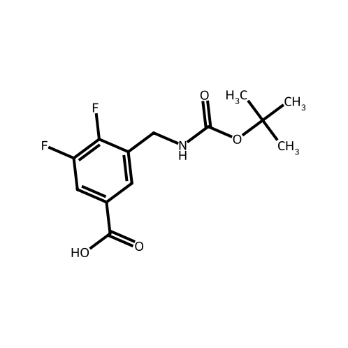 CC(C)(C)OC(=O)NCc1cc(C(=O)O)cc(F)c1F